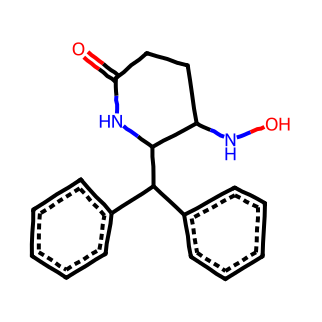 O=C1CCC(NO)C(C(c2ccccc2)c2ccccc2)N1